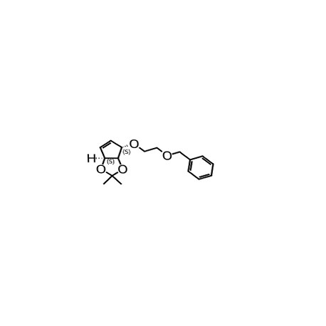 CC1(C)OC2[C@@H](OCCOCc3ccccc3)C=C[C@@H]2O1